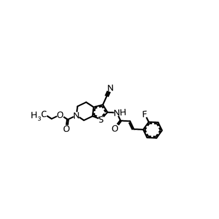 CCOC(=O)N1CCc2c(sc(NC(=O)/C=C/c3ccccc3F)c2C#N)C1